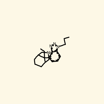 CCCn1nnc2c(C3(CC)C4CCCC3CNC4)cccc21